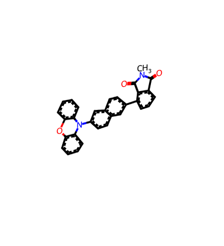 CN1C(=O)c2cccc(-c3ccc4cc(N5c6ccccc6Oc6ccccc65)ccc4c3)c2C1=O